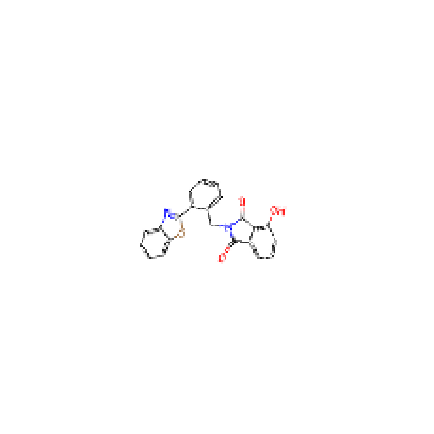 O=C1c2cccc(O)c2C(=O)N1Cc1ccccc1-c1nc2ccccc2s1